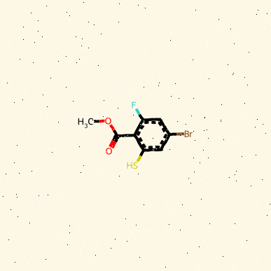 COC(=O)c1c(F)cc(Br)cc1S